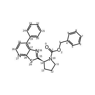 O=C(OCc1ccccc1)N1CCC[C@H]1c1nc2c(-c3ccccc3)ccnc2s1